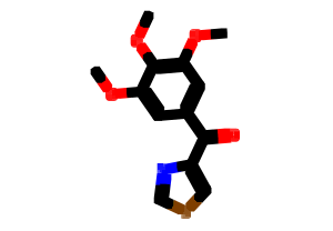 COc1cc(C(=O)c2cscn2)cc(OC)c1OC